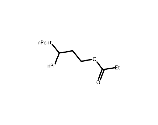 CCCCCC(CCC)CCOC(=O)CC